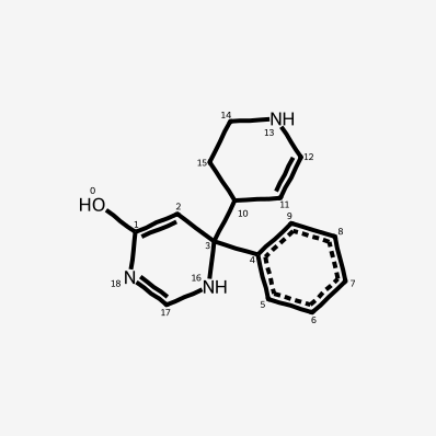 OC1=CC(c2ccccc2)(C2C=CNCC2)NC=N1